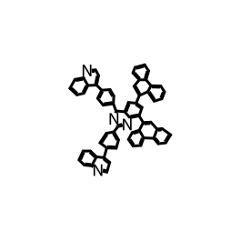 c1ccc2c(c1)cc(-c1cc(-c3cc4ccccc4c4ccccc34)c3nc(-c4ccc(-c5ccnc6ccccc56)cc4)nc(-c4ccc(-c5ccnc6ccccc56)cc4)c3c1)c1ccccc12